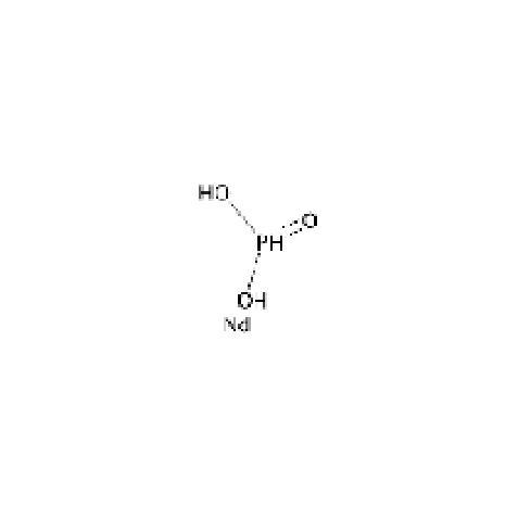 O=[PH](O)O.[Nd]